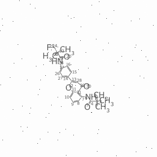 CC(C)(C)C(=O)Nc1cccc2oc(-c3ccc(NC(=O)C(C)(C)CF)cc3)cc(=O)c12